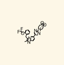 Cc1nc2ccc(-c3cnc(N4CCS(=O)(=O)CC4)nc3)cn2c1Cc1ccccc1OC(F)F